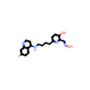 ON=Cc1nc(CCCCNc2ccnc3cc(F)ccc23)ccc1O